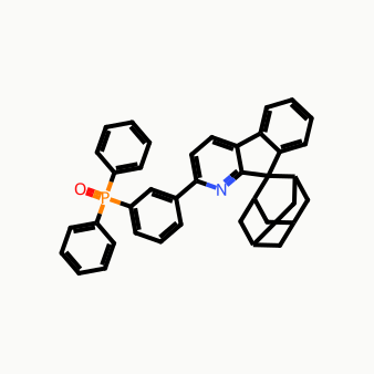 O=P(c1ccccc1)(c1ccccc1)c1cccc(-c2ccc3c(n2)C2(c4ccccc4-3)C3CC4CC(C3)CC2C4)c1